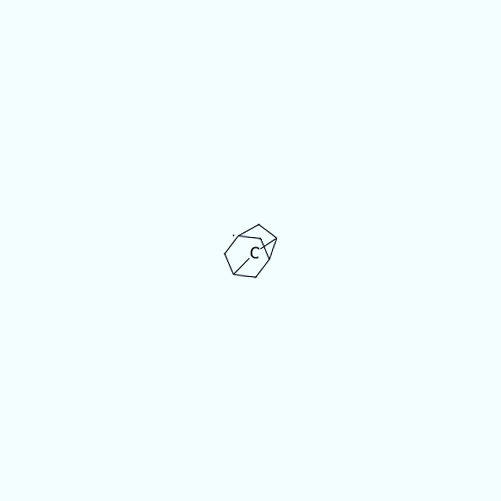 C1[C]2CC3CC1CC3C2